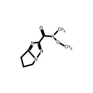 CON(C)C(=O)c1nc2n(n1)CCC2